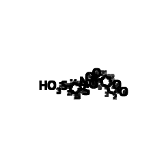 O=c1ccc2cc(S(=O)(=O)Oc3nc4cc(S(=O)(=O)O)ccc4s3)ccc2o1